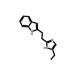 CCc1cnc(CCc2cc3ccccc3[nH]2)[nH]1